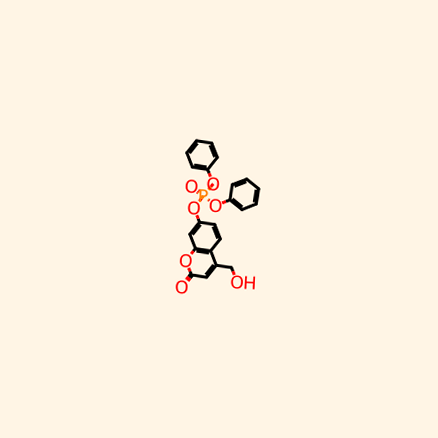 O=c1cc(CO)c2ccc(OP(=O)(Oc3ccccc3)Oc3ccccc3)cc2o1